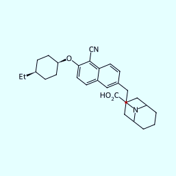 CC[C@H]1CC[C@@H](Oc2ccc3cc(CCN4C5CCCC4CC(C(=O)O)C5)ccc3c2C#N)CC1